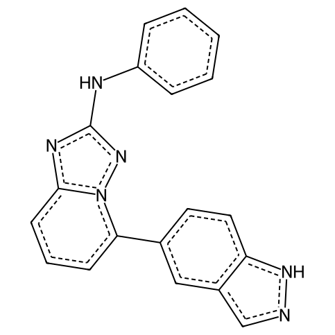 c1ccc(Nc2nc3cccc(-c4ccc5[nH]ncc5c4)n3n2)cc1